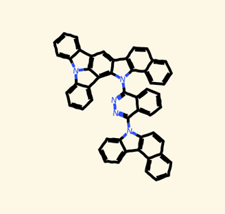 c1ccc2c(c1)ccc1c2c2ccccc2n1-c1nnc(-n2c3c4ccccc4ccc3c3cc4c5ccccc5n5c6ccccc6c(c32)c45)c2ccccc12